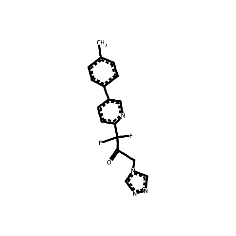 Cc1ccc(-c2ccc(C(F)(F)C(=O)Cn3cnnc3)nc2)cc1